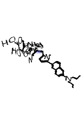 CCCN(CCC)c1ccc2cc(-c3ccc(/C=C(\C#N)S(=O)(=O)N[C@H]4CO[C@H](CO)[C@@H](O)[C@@H]4O)n3C)ccc2c1